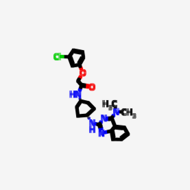 CN(C)c1nc(N[C@H]2CC[C@@H](NC(=O)COc3cccc(Cl)c3)CC2)nc2ccccc12